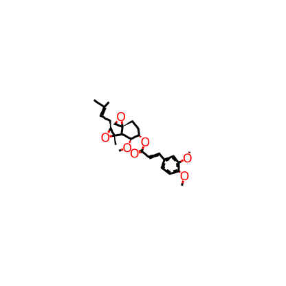 COc1ccc(/C=C/C(=O)O[C@@H]2CC[C@]3(CO3)C([C@]3(C)O[C@H]3CC=C(C)C)[C@@H]2OC)cc1OC